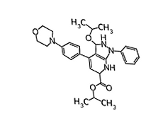 CC(C)OC(=O)C1C=C(c2ccc(N3CCOCC3)cc2)C2=C(N1)N(c1ccccc1)NC2OC(C)C